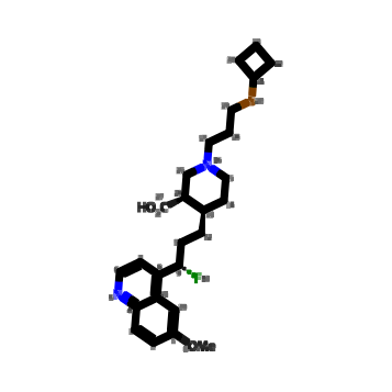 COc1ccc2nccc([C@@H](F)CC[C@@H]3CCN(CCCSC4CCC4)C[C@@H]3C(=O)O)c2c1